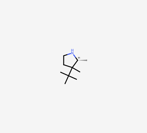 C[C@H]1NCCC1(C)C(C)(C)C